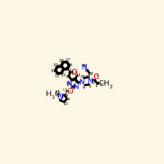 C=CC(=O)N1CCN(c2nc(OC[C@@H]3CCCN3C)nc3c2CO[C@H](c2cccc4ccccc24)C3)C[C@@H]1CC#N